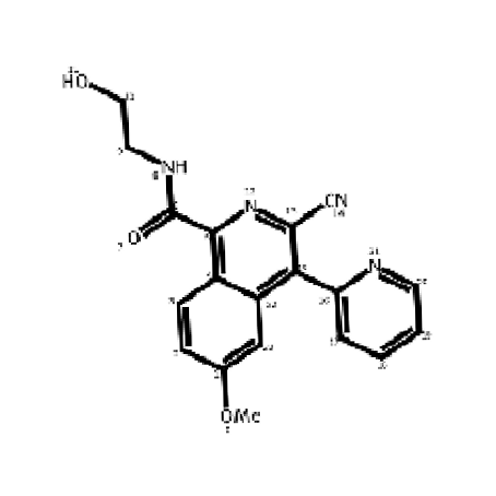 COc1ccc2c(C(=O)NCCO)nc(C#N)c(-c3ccccn3)c2c1